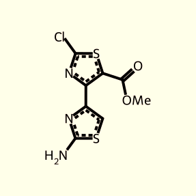 COC(=O)c1sc(Cl)nc1-c1csc(N)n1